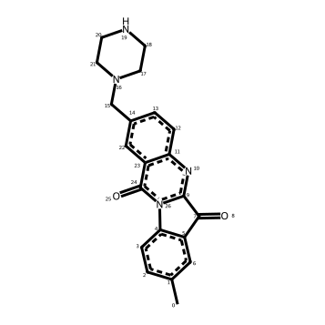 Cc1ccc2c(c1)C(=O)c1nc3ccc(CN4CCNCC4)cc3c(=O)n1-2